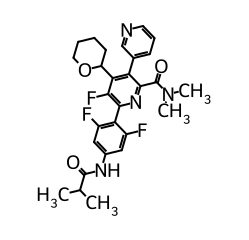 CC(C)C(=O)Nc1cc(F)c(-c2nc(C(=O)N(C)C)c(-c3cccnc3)c(C3CCCCO3)c2F)c(F)c1